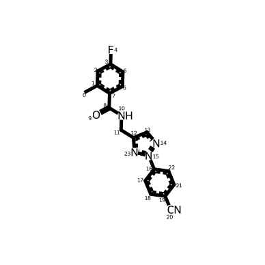 Cc1cc(F)ccc1C(=O)NCc1cnn(-c2ccc(C#N)cc2)n1